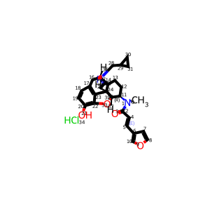 CN(C(=O)/C=C/c1ccoc1)[C@@H]1CC[C@H]2[C@H]3Cc4ccc(O)c5c4[C@@]2(CCN3CC2CC2)[C@H]1O5.Cl